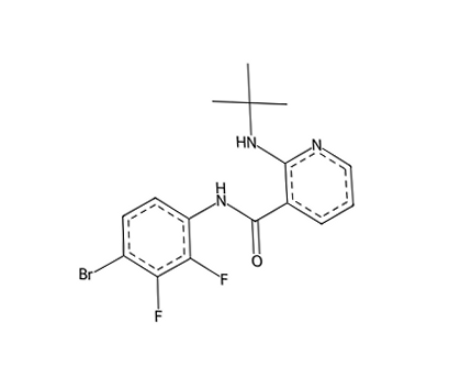 CC(C)(C)Nc1ncccc1C(=O)Nc1ccc(Br)c(F)c1F